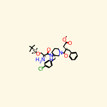 COC(=O)C[C@@H](Cc1ccccc1)C(=O)N1CCC[C@](Cc2ccc(Cl)cc2)(NC(=O)[C@@H](N)CO[Si](C)(C)C(C)(C)C)C1